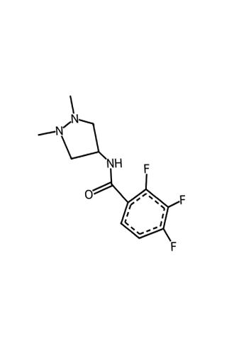 CN1CC(NC(=O)c2ccc(F)c(F)c2F)CN1C